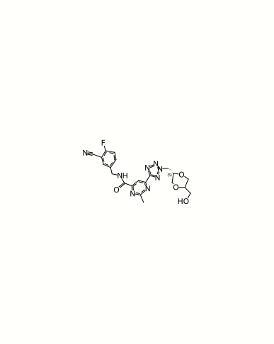 Cc1nc(C(=O)NCc2ccc(F)c(C#N)c2)cc(-c2nnn(C[C@H]3COC(CO)CO3)n2)n1